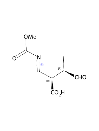 COC(=O)/N=C/[C@H](C(=O)O)[C@@H](C)C=O